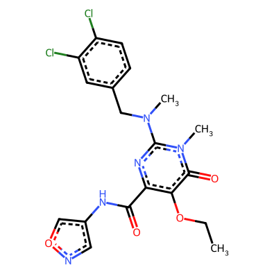 CCOc1c(C(=O)Nc2cnoc2)nc(N(C)Cc2ccc(Cl)c(Cl)c2)n(C)c1=O